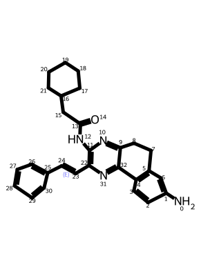 Nc1ccc2c(c1)CCc1nc(NC(=O)CC3CCCCC3)c(/C=C/c3ccccc3)nc1-2